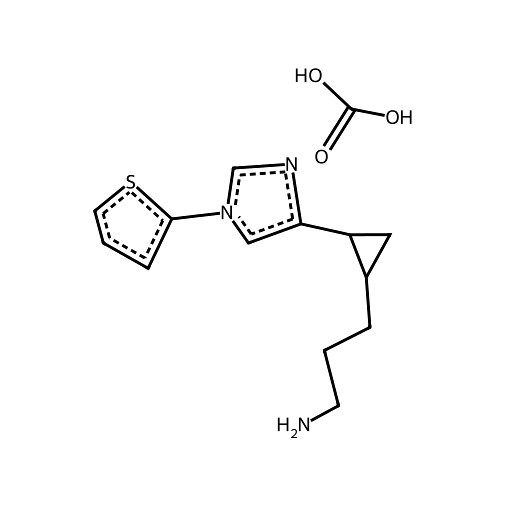 NCCCC1CC1c1cn(-c2cccs2)cn1.O=C(O)O